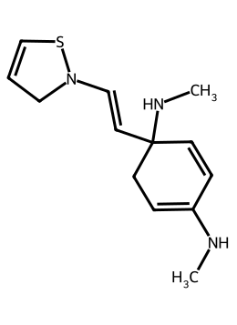 CNC1=CCC(C=CN2CC=CS2)(NC)C=C1